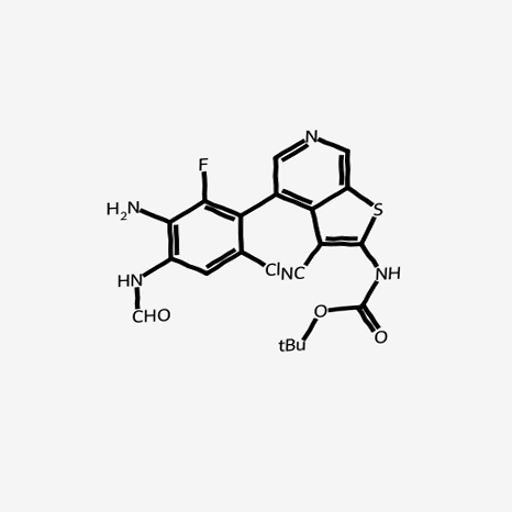 CC(C)(C)OC(=O)Nc1sc2cncc(-c3c(Cl)cc(NC=O)c(N)c3F)c2c1C#N